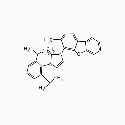 Cc1ccc2c(oc3ccccc32)c1N1C=CN(c2c(C(C)C)cccc2C(C)C)C1C